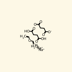 C=COC=C.O.O=C(O)CCC(=O)O.O=C([O-])CCC(=O)[O-].[Na+].[Na+]